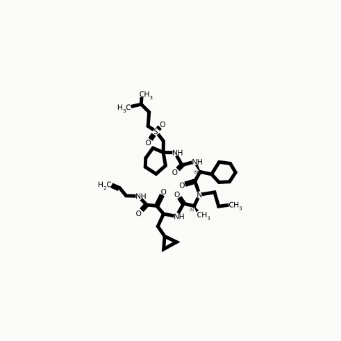 C=CCNC(=O)C(=O)C(CC1CC1)NC(=O)[C@H](C)N(CCC)C(=O)[C@@H](NC(=O)NC1(CS(=O)(=O)CCC(C)C)CCCCC1)C1CCCCC1